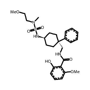 COCCN(C)S(=O)(=O)N[C@H]1CC[C@@](CNC(=O)c2c(O)cccc2OC)(c2ccccc2)CC1